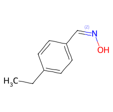 CCc1ccc(/C=N\O)cc1